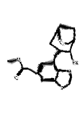 COC(=O)c1cc(C2CC3CCC(O3)C2Br)c2ncsc2c1